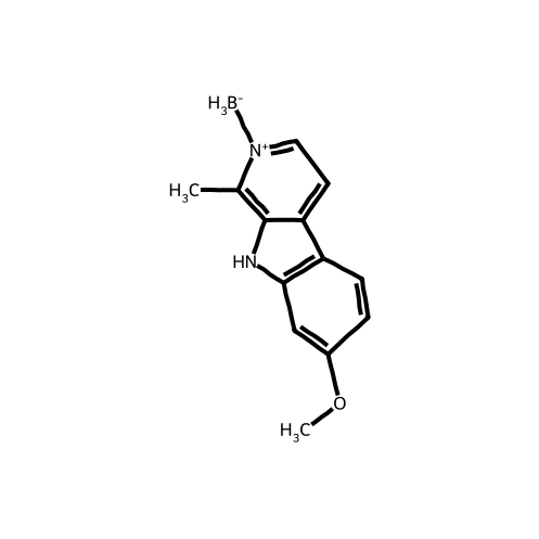 [BH3-][n+]1ccc2c([nH]c3cc(OC)ccc32)c1C